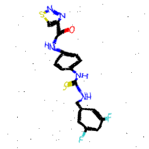 O=C(Nc1ccc(NC(=S)NCc2cc(F)cc(F)c2)cc1)c1csnn1